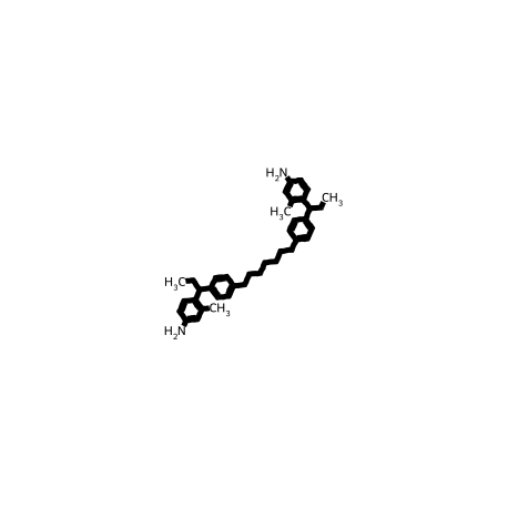 CCC(c1ccc(CCCCCCCc2ccc(C(CC)c3ccc(N)cc3C)cc2)cc1)c1ccc(N)cc1C